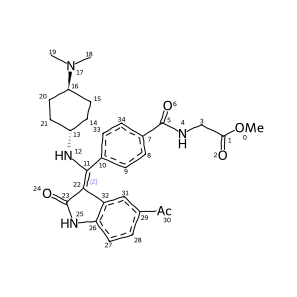 COC(=O)CNC(=O)c1ccc(/C(N[C@H]2CC[C@H](N(C)C)CC2)=C2/C(=O)Nc3ccc(C(C)=O)cc32)cc1